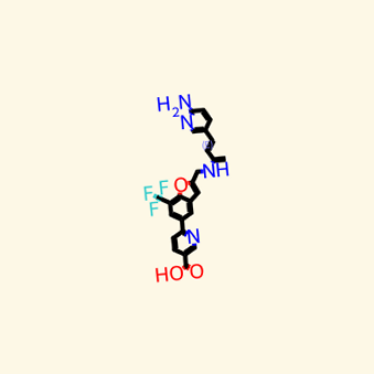 C=C(/C=C/c1ccc(N)nc1)NCc1cc2cc(-c3ccc(C(=O)O)cn3)cc(C(F)(F)F)c2o1